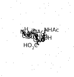 CC[C@H](C)[C@H](NC(=O)C(C)(C)N(C)C)C(=O)N(C)[C@H](C[C@@H](OC(C)=O)c1nc(C(=O)N[C@@H](Cc2ccc(O)c(NC(=O)CCCNC(C)=O)c2)C[C@H](C)C(=O)O)cs1)C(C)C